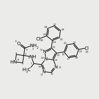 CC(NC1(C(N)=O)CNC1)c1ncnc2c(-c3ccc(Cl)cc3)c(-c3ccccc3Cl)nn12